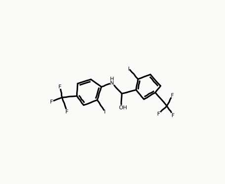 OC(Nc1ccc(C(F)(F)F)cc1I)c1cc(C(F)(F)F)ccc1I